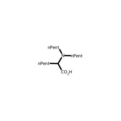 CCCCCC(C(=O)O)N(CCCCC)CCCCC